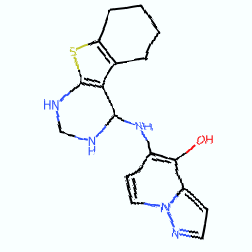 Oc1c(NC2NCNc3sc4c(c32)CCCC4)ccn2nccc12